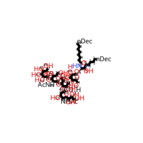 CCCCCCCCCCCCC/C=C/[C@@H](O)[C@H](CO[C@@H]1OC(CO)[C@@H](O[C@@H]2OC(CO)[C@H](O[C@@H]3OC(CO)[C@H](O)[C@H](O[C@@H]4OC(CO)[C@H](O)[C@H](O)C4O)C3NC(C)=O)[C@H](O[C@]3(C(=O)O)CC(O)[C@@H](NC(C)=O)C([C@H](O)[C@H](O)CO)O3)C2O)[C@H](O)C1O)NC(=O)CCCCCCCCCCCCCCCCC